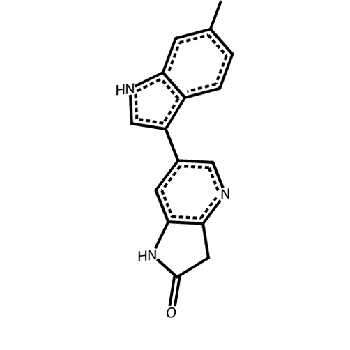 O=C1Cc2ncc(-c3c[nH]c4cc(F)ccc34)cc2N1